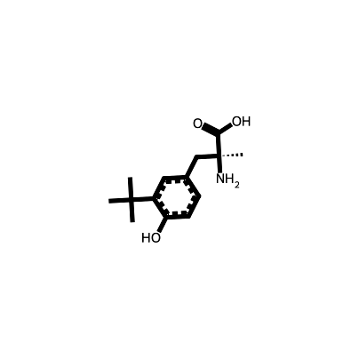 CC(C)(C)c1cc(C[C@](C)(N)C(=O)O)ccc1O